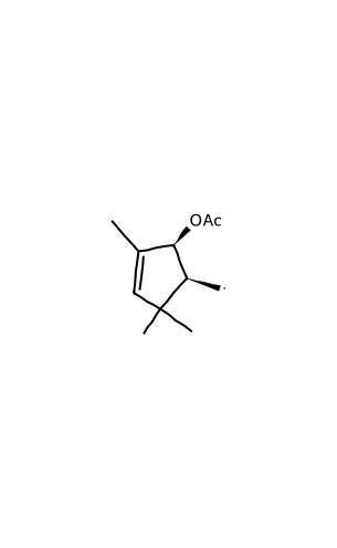 [CH2][C@@H]1[C@H](OC(C)=O)C(C)=CC1(C)C